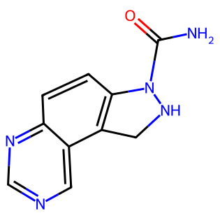 NC(=O)N1NCc2c1ccc1ncncc21